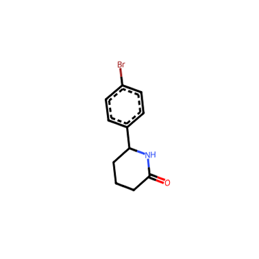 O=C1CCCC(c2ccc(Br)cc2)N1